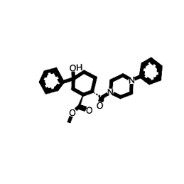 COC(=O)[C@H]1CC(O)(c2ccccc2)CC[C@@H]1C(=O)N1CCN(c2ccccc2)CC1